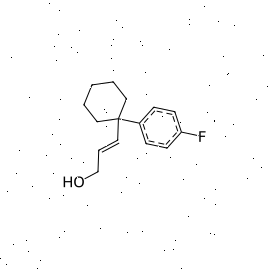 OCC=CC1(c2ccc(F)cc2)CCCCC1